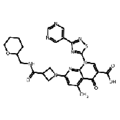 Cc1cc(N2CC(C(=O)NCC3CCCCO3)C2)nc2c1c(=O)c(C(=O)O)cn2-c1nc(-c2cncnc2)ns1